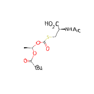 CC(=O)N[C@@H](CSC(=O)O[C@H](C)OC(=O)C(C)(C)C)C(=O)O